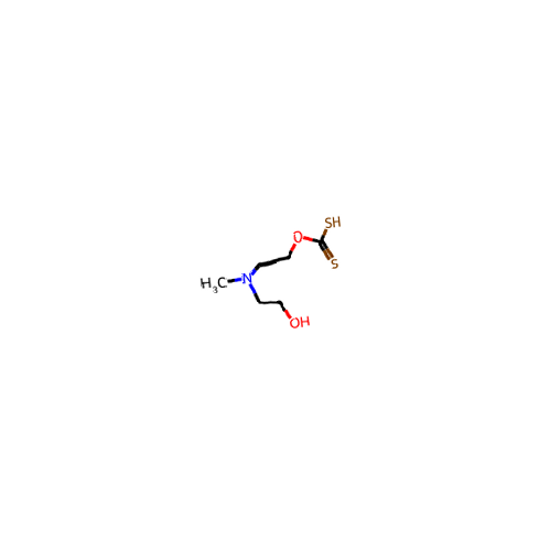 CN(CCO)CCOC(=S)S